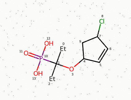 CCC(CC)(OC1C=CC(Cl)C1)P(=O)(O)O